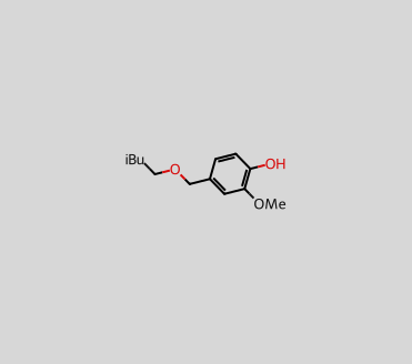 CCC(C)COCc1ccc(O)c(OC)c1